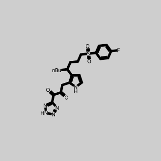 CCCCC(CCCS(=O)(=O)c1ccc(F)cc1)c1cc[nH]c1CC(=O)C(=O)c1nn[nH]n1